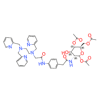 CC(=O)OC[C@H]1OC(OC(C)=O)[C@H](NC(=O)Cc2ccc(NC(=O)CN(CCN(Cc3ccccn3)Cc3ccccn3)Cc3ccccn3)cc2)[C@@H](O)[C@@H]1OC(C)=O